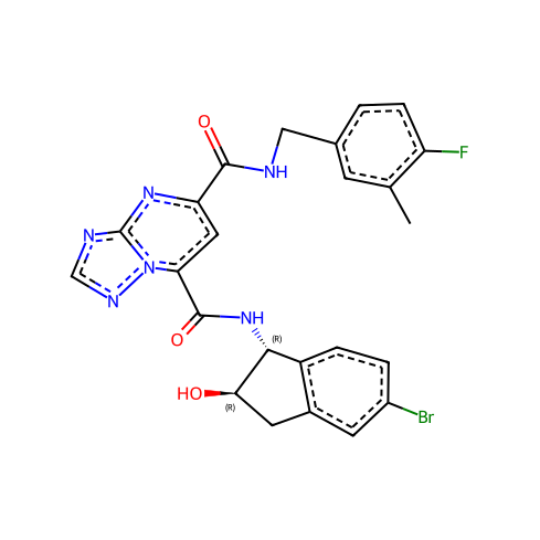 Cc1cc(CNC(=O)c2cc(C(=O)N[C@@H]3c4ccc(Br)cc4C[C@H]3O)n3ncnc3n2)ccc1F